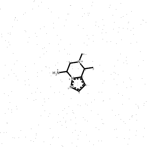 CC1c2ccnn2C(N)CN1C